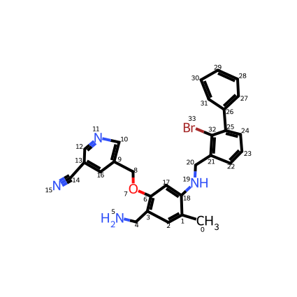 Cc1cc(CN)c(OCc2cncc(C#N)c2)cc1NCc1cccc(-c2ccccc2)c1Br